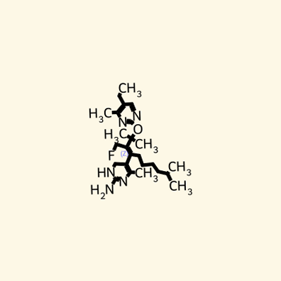 CCc1cnc(OC(C)(C)/C(CF)=C(\CCCCC(C)C)C2=C(C)N=C(N)NC2)nc1C